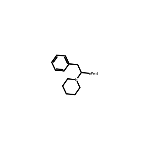 CCCCCC(Cc1ccccc1)N1CCCCC1